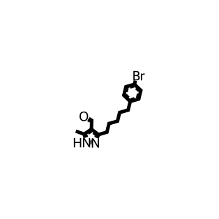 Cc1[nH]nc(CCCCCc2ccc(Br)cc2)c1C=O